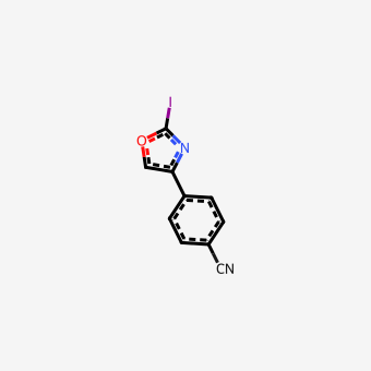 N#Cc1ccc(-c2coc(I)n2)cc1